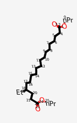 CCCOC(=O)CCCCCCCCCCCCCCC(CC)CCC(=O)OCCC